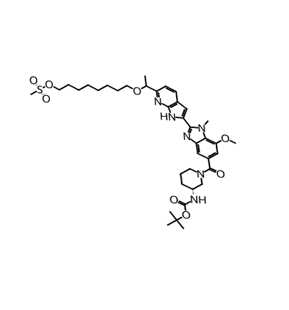 COc1cc(C(=O)N2CCC[C@@H](NC(=O)OC(C)(C)C)C2)cc2nc(-c3cc4ccc(C(C)OCCCCCCCCOS(C)(=O)=O)nc4[nH]3)n(C)c12